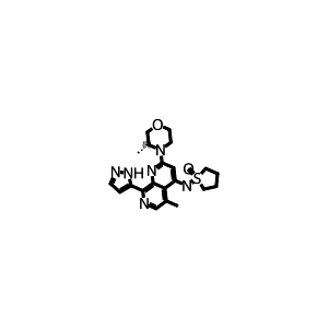 Cc1cnc(-c2ccn[nH]2)c2nc(N3CCOC[C@H]3C)cc(N=S3(=O)CCCC3)c12